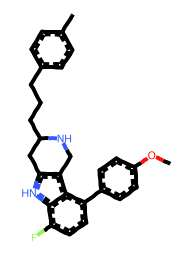 COc1ccc(-c2ccc(F)c3[nH]c4c(c23)CNC(CCCc2ccc(C)cc2)C4)cc1